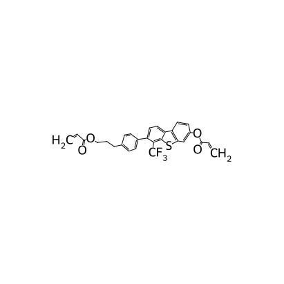 C=CC(=O)OCCCc1ccc(-c2ccc3c(sc4cc(OC(=O)C=C)ccc43)c2C(F)(F)F)cc1